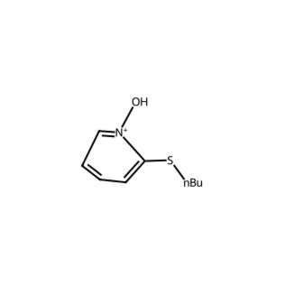 CCCCSc1cccc[n+]1O